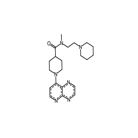 CN(CCN1CCCCC1)C(=O)C1CCN(c2ccnc3nccnc23)CC1